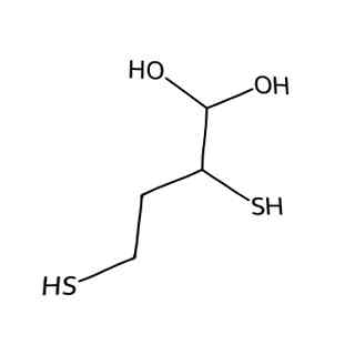 OC(O)C(S)CCS